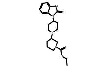 CCOC(=O)N1CCCC(N2CCC(n3c(=O)[nH]c4ccccc43)CC2)C1